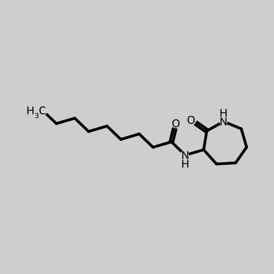 CCCCCCCCC(=O)NC1CCCCNC1=O